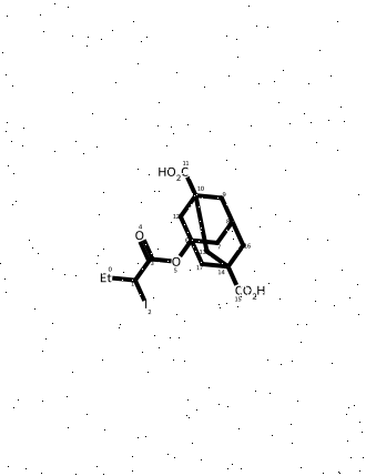 CCC(I)C(=O)OC12CC3CC(C(=O)O)(C1)CC(C(=O)O)(C3)C2